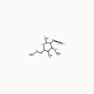 CCCCOCC1OC(O)C(N=[N+]=[N-])C(OCCCC)C1O